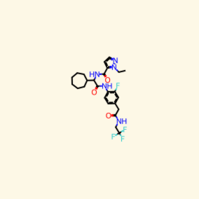 CCn1nccc1C(=O)NC(C(=O)Nc1ccc(CC(=O)NCC(F)(F)F)cc1F)C1CCCCCC1